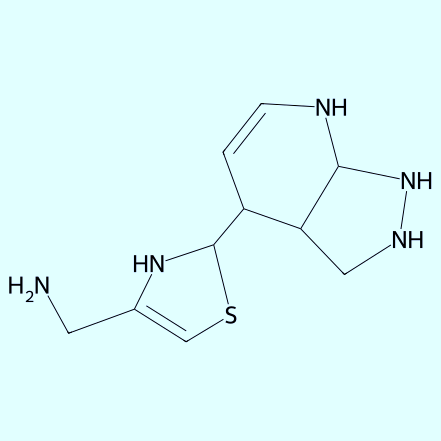 NCC1=CSC(C2C=CNC3NNCC32)N1